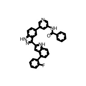 O=C(Nc1cncc(-c2ccc3[nH]nc(-c4cc5c(-c6ccccc6F)cccc5[nH]4)c3c2)c1)c1ccccc1